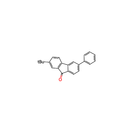 CC(C)(C)c1ccc2c(c1)C(=O)c1ccc(-c3ccccc3)cc1-2